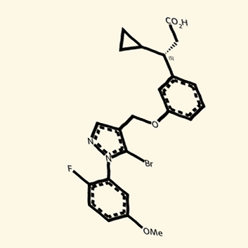 COc1ccc(F)c(-n2ncc(COc3cccc([C@@H](CC(=O)O)C4CC4)c3)c2Br)c1